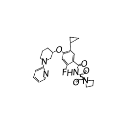 O=C(NS(=O)(=O)N1CCC1)c1cc(C2CC2)c(OC2CCCN(c3ccccn3)C2)cc1F